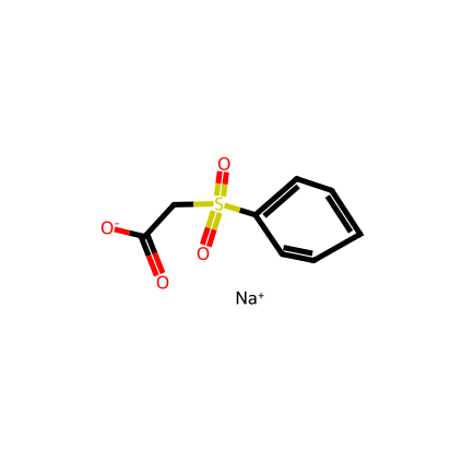 O=C([O-])CS(=O)(=O)c1ccccc1.[Na+]